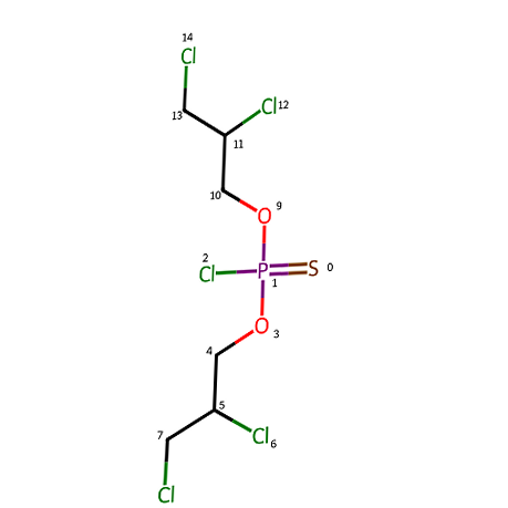 S=P(Cl)(OCC(Cl)CCl)OCC(Cl)CCl